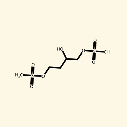 CS(=O)(=O)OCCC(O)COS(C)(=O)=O